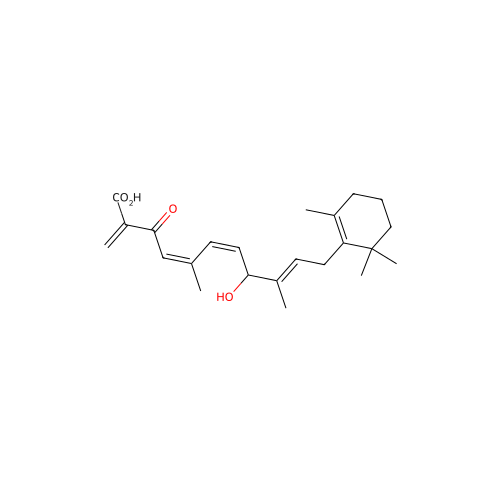 C=C(C(=O)O)C(=O)/C=C(C)\C=C/C(O)/C(C)=C/CC1=C(C)CCCC1(C)C